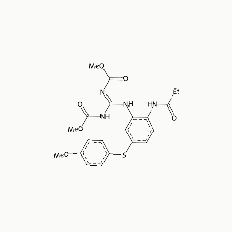 CCC(=O)Nc1ccc(Sc2ccc(OC)cc2)cc1NC(=NC(=O)OC)NC(=O)OC